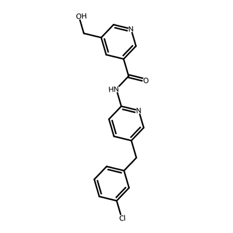 O=C(Nc1ccc(Cc2cccc(Cl)c2)cn1)c1cncc(CO)c1